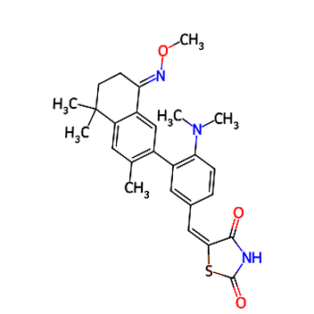 CO/N=C1\CCC(C)(C)c2cc(C)c(-c3cc(/C=C4/SC(=O)NC4=O)ccc3N(C)C)cc21